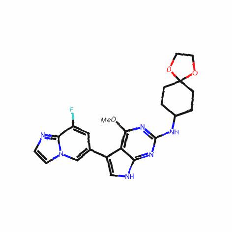 COc1nc(NC2CCC3(CC2)OCCO3)nc2[nH]cc(-c3cc(F)c4nccn4c3)c12